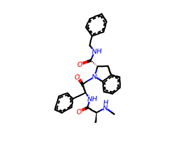 CN[C@@H](C)C(=O)N[C@H](C(=O)N1c2ccccc2C[C@H]1C(=O)NCc1ccccc1)c1ccccc1